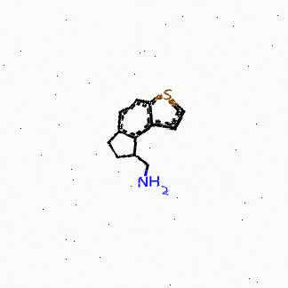 NCC1CCc2ccc3sccc3c21